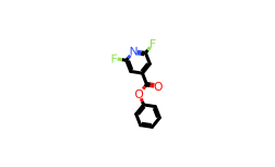 O=C(Oc1ccccc1)c1cc(F)nc(F)c1